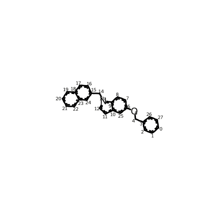 c1ccc(COc2ccc3c(ccn3Cc3ccc4ccccc4c3)c2)cc1